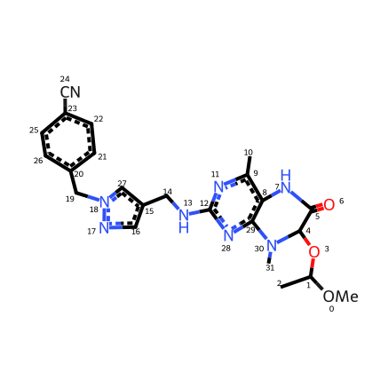 COC(C)OC1C(=O)Nc2c(C)nc(NCc3cnn(Cc4ccc(C#N)cc4)c3)nc2N1C